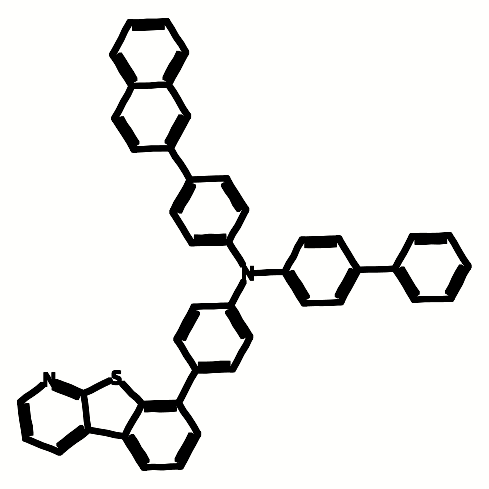 c1ccc(-c2ccc(N(c3ccc(-c4ccc5ccccc5c4)cc3)c3ccc(-c4cccc5c4sc4ncccc45)cc3)cc2)cc1